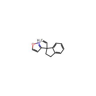 C=CC1(c2ccon2)CCc2ccccc21